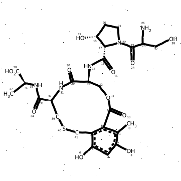 Cc1c(O)cc(O)c2c1C(=O)OC[C@H](NC(=O)[C@@H]1[C@H](O)CCN1C(=O)C(N)CO)C(=O)N[C@H](C(=O)N[C@@H](C)C(=O)O)CSC2